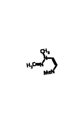 C=NN(C)/C=C\NC